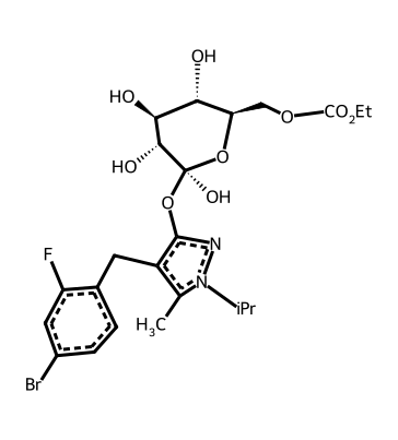 CCOC(=O)OC[C@H]1O[C@@](O)(Oc2nn(C(C)C)c(C)c2Cc2ccc(Br)cc2F)[C@H](O)[C@@H](O)[C@@H]1O